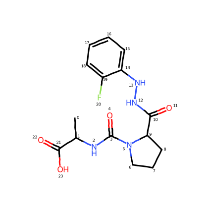 CC(NC(=O)N1CCCC1C(=O)NNc1ccccc1F)C(=O)O